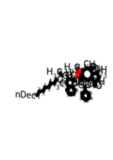 CCCCCCCCCCCCCCCCCCOC(C)O[C@@H](C(=O)O[C@H]1C[C@@]2(O)[C@@H](OC(=O)c3ccccc3)[C@@H]3[C@]4(OC(C)=O)CO[C@@H]4C[C@H](O)[C@@]3(C)C(=O)[C@H](C)C(=C1C)C2(C)C)[C@@H](C)c1ccccc1